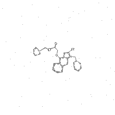 CCc1cc2c(OCC(=O)OCc3ccccc3)c3ccccc3cc2n1Cc1ccccc1